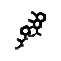 CCNC(=O)Nc1cccc(-n2c([C@H](C)NC)nc3cccc(Cl)c3c2=O)c1